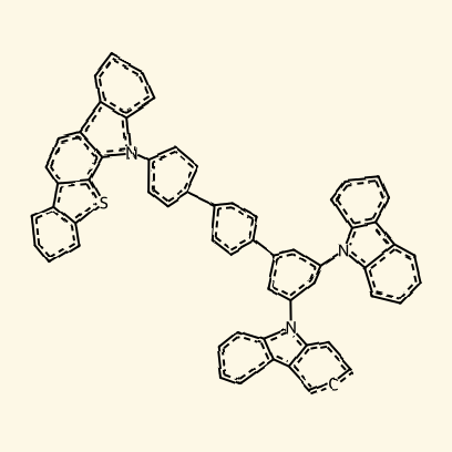 c1ccc2c(c1)sc1c2ccc2c3ccccc3n(-c3ccc(-c4ccc(-c5cc(-n6c7ccccc7c7ccccc76)cc(-n6c7ccccc7c7ccccc76)c5)cc4)cc3)c21